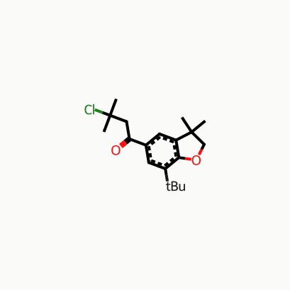 CC(C)(Cl)CC(=O)c1cc(C(C)(C)C)c2c(c1)C(C)(C)CO2